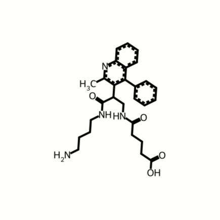 Cc1nc2ccccc2c(-c2ccccc2)c1C(CNC(=O)CCCC(=O)O)C(=O)NCCCCN